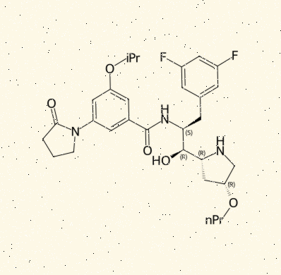 CCCO[C@H]1CN[C@@H]([C@@H](O)[C@H](Cc2cc(F)cc(F)c2)NC(=O)c2cc(OC(C)C)cc(N3CCCC3=O)c2)C1